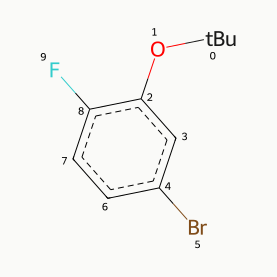 CC(C)(C)Oc1cc(Br)ccc1F